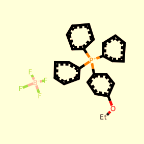 CCOc1ccc([P+](c2ccccc2)(c2ccccc2)c2ccccc2)cc1.F[B-](F)(F)F